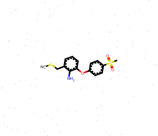 CS(=O)(=O)c1ccc(Oc2cccc(CSC#N)c2N)cc1